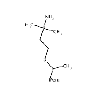 CCCC(C)C(C)OCCC(C)(C)N